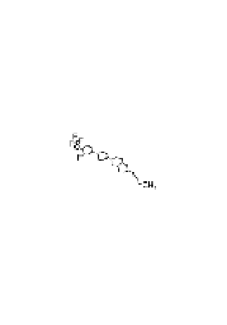 CCCCCC1CCC2CC(c3ccc(-c4ccc(OC(F)(F)F)c(F)c4)cc3)CCC2C1